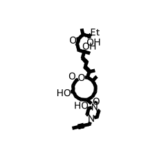 CC#CCN1CCN(OC2CCC(C)C(/C(C)=C/C=C/C(C)(O)CC3OC3C(C)C(O)CC)OC(=O)CC(O)CCC2(C)O)CC1